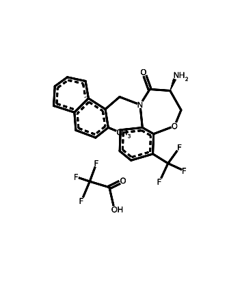 Cc1ccc2ccccc2c1CN1C(=O)[C@@H](N)COc2c1cccc2C(F)(F)F.O=C(O)C(F)(F)F